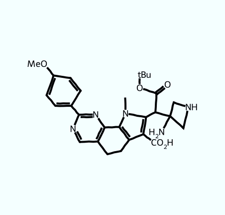 COc1ccc(-c2ncc3c(n2)-c2c(c(C(=O)O)c(C(C(=O)OC(C)(C)C)C4(N)CNC4)n2C)CC3)cc1